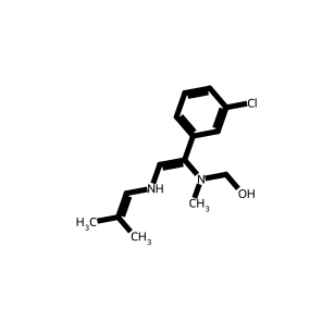 CC(C)=CN/C=C(/c1cccc(Cl)c1)N(C)CO